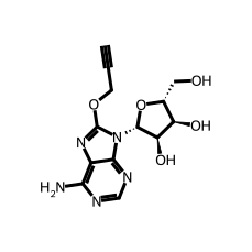 C#CCOc1nc2c(N)ncnc2n1[C@@H]1O[C@H](CO)[C@@H](O)[C@H]1O